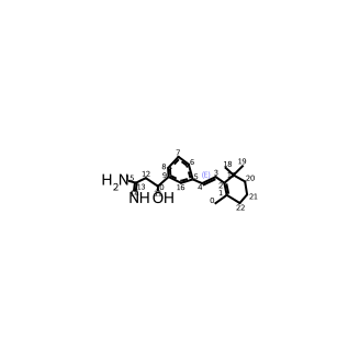 CC1=C(/C=C/c2cccc(C(O)CC(=N)N)c2)C(C)(C)CCC1